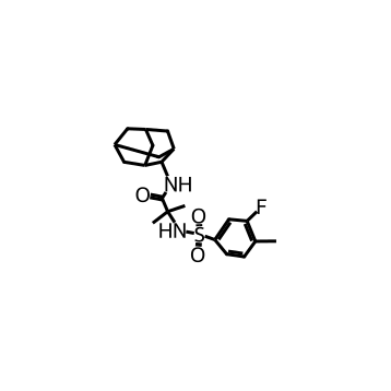 Cc1ccc(S(=O)(=O)NC(C)(C)C(=O)NC2C3CC4CC(C3)CC2C4)cc1F